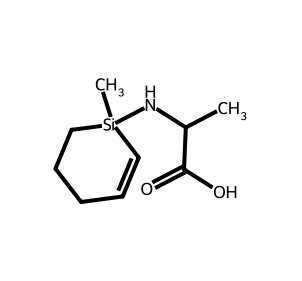 CC(N[Si]1(C)C=CCCC1)C(=O)O